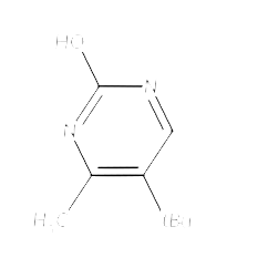 Cc1nc(O)ncc1C(C)(C)C